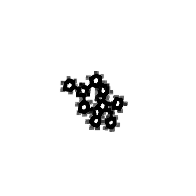 c1ccc(-c2nc(-c3ccccc3)nc(-c3cccc(-n4c5ccccc5c5c4c4sc6ncncc6c4c4c6ccccc6n(-c6ccccc6)c45)c3)n2)cc1